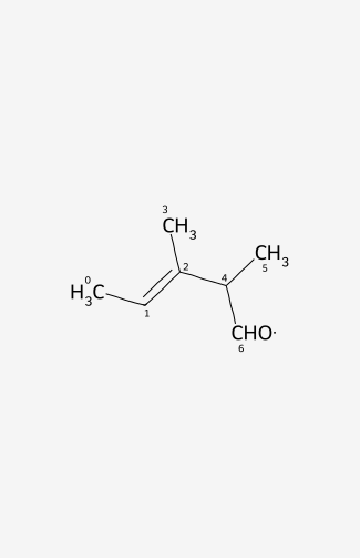 CC=C(C)C(C)[C]=O